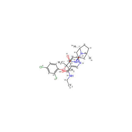 CC(C)(Oc1ccc(Cl)cc1F)C(=O)N[C@H]1C[C@H]2CC[C@@H](C1)N2c1ccc(C(=O)NCC(F)(F)F)cn1